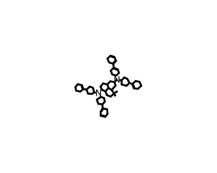 CC1(C)CCC2C3C(CCC2N(C2CCC(C4=CC=CCC4)CC2)C2CCC(C4=CCCCC4)CC2)CC(N(C2CC=C(C4=CC=CCC4)CC2)C2CCC(C4=CCCCC4)CC2)CC31